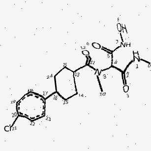 CNC(=O)C(C(=O)NO)N(C)C(=O)C1CCC(c2ccc(Cl)cc2)CC1